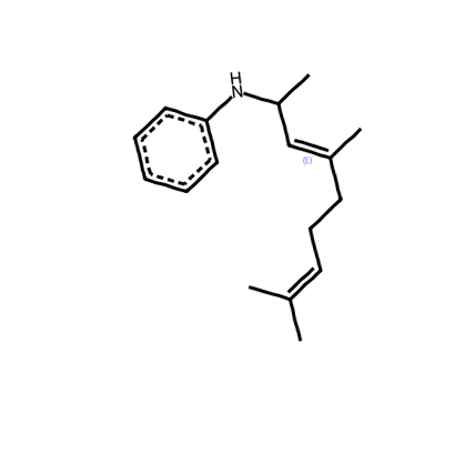 CC(C)=CCC/C(C)=C/C(C)Nc1ccccc1